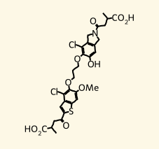 COc1cc2sc(C(=O)CC(C)C(=O)O)cc2c(Cl)c1OCCCOc1c(O)cc2c(c1Cl)CN(C(=O)CC(C)C(=O)O)C2